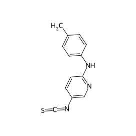 Cc1ccc(Nc2ccc(N=C=S)cn2)cc1